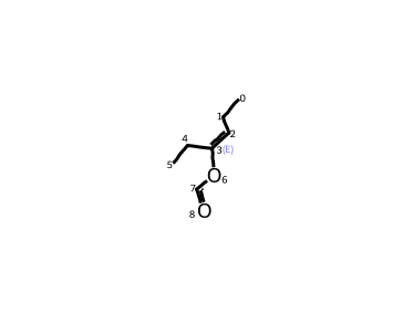 CC/C=C(\CC)O[C]=O